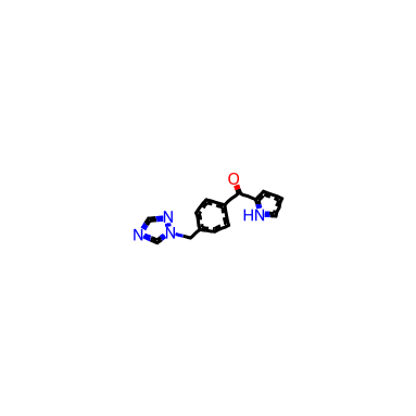 O=C(c1ccc(Cn2cncn2)cc1)c1ccc[nH]1